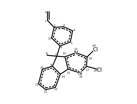 C=Cc1cccc(C2(C)c3ccccc3-c3nc(Cl)c(Cl)nc32)c1